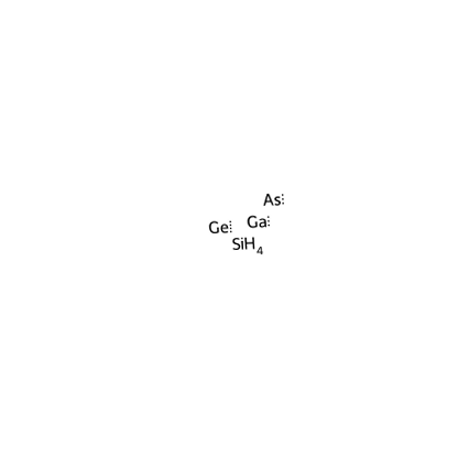 [As].[Ga].[Ge].[SiH4]